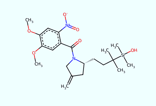 C=C1C[C@@H](CCC(C)(C)[Si](C)(C)O)N(C(=O)c2cc(OC)c(OC)cc2[N+](=O)[O-])C1